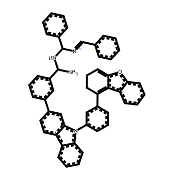 NC(NC(/N=C/c1ccccc1)c1ccccc1)c1cccc(-c2ccc3c4ccccc4n(-c4cccc(C5=c6c(oc7ccccc67)=CCC5)c4)c3c2)c1